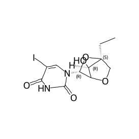 CC[C@@]12COC([C@H](n3cc(I)c(=O)[nH]c3=O)O1)[C@H]2O